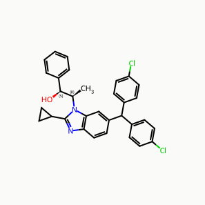 C[C@H]([C@@H](O)c1ccccc1)n1c(C2CC2)nc2ccc(C(c3ccc(Cl)cc3)c3ccc(Cl)cc3)cc21